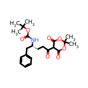 CC(C)(C)OC(=O)N[C@H](CCC(=O)C1C(=O)OC(C)(C)OC1=O)Cc1ccccc1